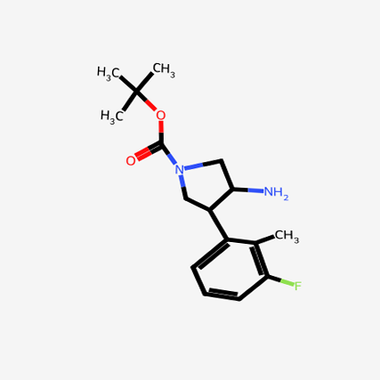 Cc1c(F)cccc1C1CN(C(=O)OC(C)(C)C)CC1N